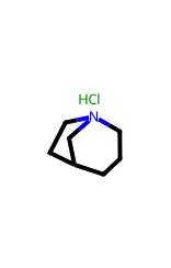 C1CC2CCN(C1)C2.Cl